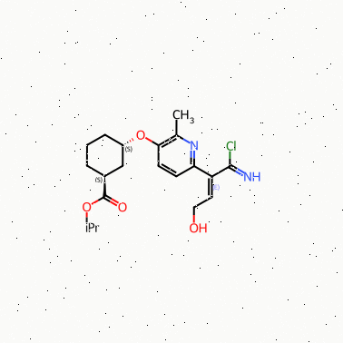 Cc1nc(/C(=C\CO)C(=N)Cl)ccc1O[C@H]1CCC[C@H](C(=O)OC(C)C)C1